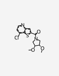 COC1CN(C(=O)c2cc3nccc(Cl)c3s2)CC1OC